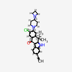 C#Cc1ccc2c3c([nH]c2c1)C(C)(C)c1cc(N2CCC(N4CCC4)CC2)c(Cl)cc1C3=O